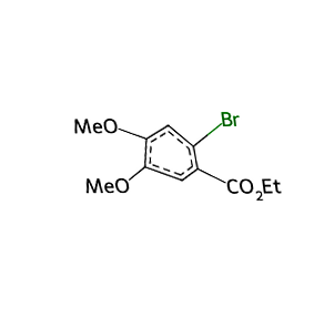 CCOC(=O)c1cc(OC)c(OC)cc1Br